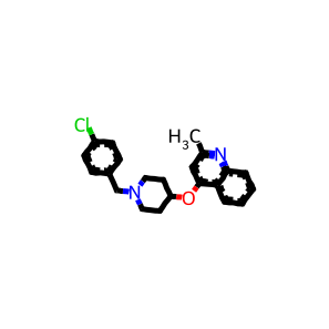 Cc1cc(OC2CCN(Cc3ccc(Cl)cc3)CC2)c2ccccc2n1